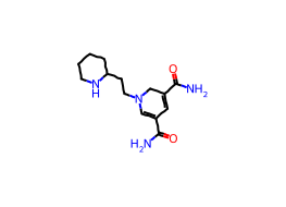 NC(=O)C1=CN(CCC2CCCCN2)CC(C(N)=O)=C1